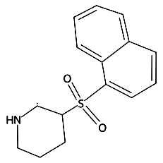 O=S(=O)(c1cccc2ccccc12)C1[CH]NCCC1